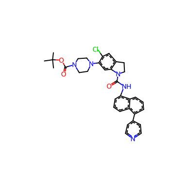 CC(C)(C)OC(=O)N1CCN(c2cc3c(cc2Cl)CCN3C(=O)Nc2cccc3c(-c4ccncc4)cccc23)CC1